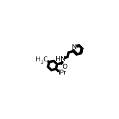 CC(C)C1CC[C@@H](C)CC1C(=O)NCCc1ccccn1